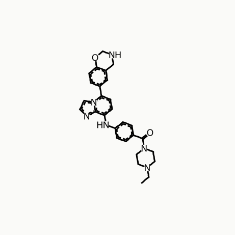 CCN1CCN(C(=O)c2ccc(Nc3ccc(-c4ccc5c(c4)CNCO5)n4ccnc34)cc2)CC1